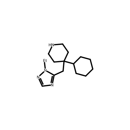 CCn1ncnc1CC1(C2CCCCC2)CCNCC1